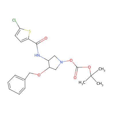 CC(C)(C)OC(=O)ON1CC(NC(=O)c2ccc(Cl)s2)C(OCc2ccccc2)C1